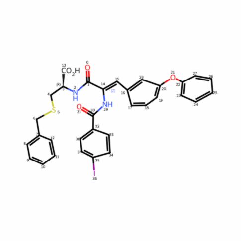 O=C(N[C@@H](CSCc1ccccc1)C(=O)O)/C(=C/c1cccc(Oc2ccccc2)c1)NC(=O)c1ccc(I)cc1